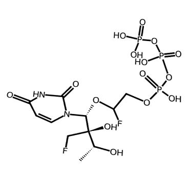 C[C@@H](O)[C@](O)(CF)[C@@H](OC(F)COP(=O)(O)OP(=O)(O)OP(=O)(O)O)n1ccc(=O)[nH]c1=O